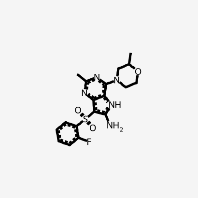 Cc1nc(N2CCOC(C)C2)c2[nH]c(N)c(S(=O)(=O)c3ccccc3F)c2n1